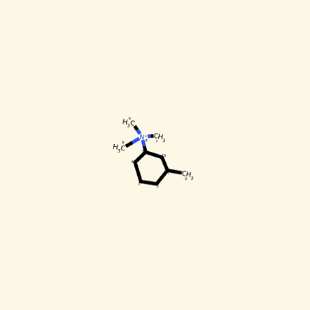 CC1CCCC([N+](C)(C)C)C1